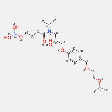 CC(C)OCCOCc1ccc(OCC(O)CN(C(=O)CCCON(O)O)C(C)C)cc1